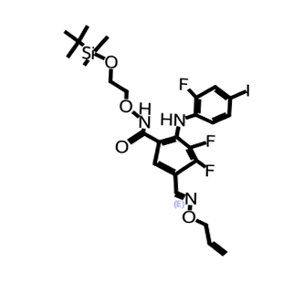 C=CCO/N=C/c1cc(C(=O)NOCCO[Si](C)(C)C(C)(C)C)c(Nc2ccc(I)cc2F)c(F)c1F